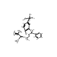 NCCC(Oc1cc(C(F)(F)F)ccc1Cl)c1cccnc1.O=C(O)C(=O)O